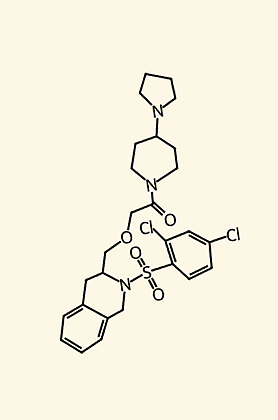 O=C(COCC1Cc2ccccc2CN1S(=O)(=O)c1ccc(Cl)cc1Cl)N1CCC(N2CCCC2)CC1